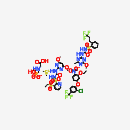 CCOc1cc(Oc2ccc(C(F)(F)F)cc2Cl)ccc1[N+](=O)[O-].CCS(=O)(=O)c1cccnc1S(=O)(=O)NC(=O)Nc1nc(OC)cc(OC)n1.COc1nc(C)nc(NC(=O)NS(=O)(=O)c2ccccc2CCC(F)(F)F)n1.C[S+](C)C.O=C(O)CNCP(=O)([O-])O